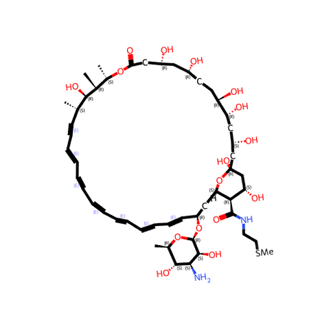 CSCCNC(=O)[C@H]1[C@@H]2C[C@@H](O[C@@H]3O[C@H](C)[C@@H](O)[C@H](N)[C@@H]3O)/C=C/C=C/C=C/C=C/C=C/C=C/C=C/[C@H](C)[C@@H](O)[C@@H](C)[C@H](C)OC(=O)C[C@H](O)C[C@H](O)CC[C@@H](O)[C@H](O)C[C@H](O)C[C@](O)(C[C@@H]1O)O2